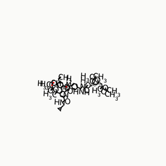 C=Cc1cc(C(=O)Nc2ccc(C(=N)NC(=O)OC[C@@H]3C[C@H](CC(=O)OC(C)(C)C)OC(C)(C)O3)cc2)c(-c2c(C(C)OC(=O)C(C)C)cc(C(=O)NCC3CC3)nc2C(=O)O)cc1OC